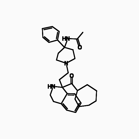 CC(=O)NC1(c2ccccc2)CCN(CCC2(C(=O)C3CCCCCC3)NCCc3ccccc32)CC1